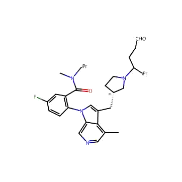 Cc1cncc2c1c(C[C@@H]1CCN(C(CCC=O)C(C)C)C1)cn2-c1ccc(F)cc1C(=O)N(C)C(C)C